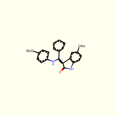 COc1ccc(N/C(=C2\C(=O)Nc3ccc(OC)cc32)c2ccccc2)cc1